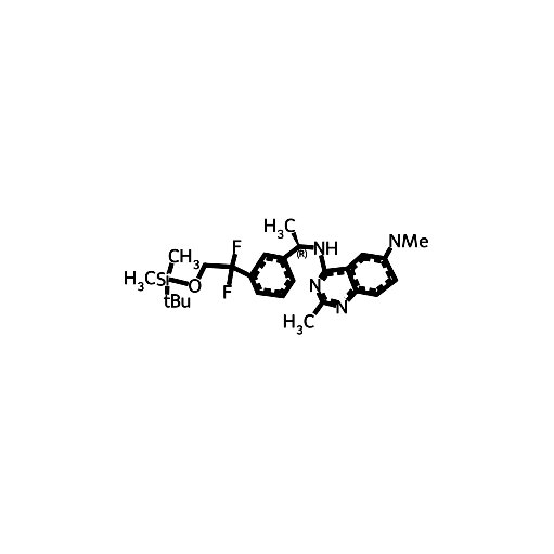 CNc1ccc2nc(C)nc(N[C@H](C)c3cccc(C(F)(F)CO[Si](C)(C)C(C)(C)C)c3)c2c1